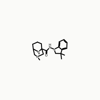 CN1CC2C[CH]CC(C(=O)NN3CC(C)(C)c4ccccc43)(C1)N2C